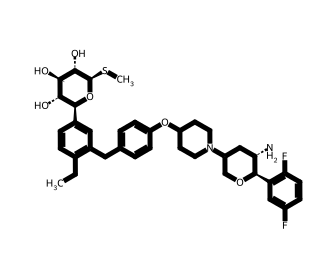 CCc1ccc([C@@H]2O[C@H](SC)[C@@H](O)[C@H](O)[C@H]2O)cc1Cc1ccc(OC2CCN(C3CO[C@H](c4cc(F)ccc4F)[C@@H](N)C3)CC2)cc1